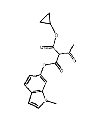 CC(=O)C(C(=O)Oc1ccc2ccn(C)c2c1)C(=O)OC1CC1